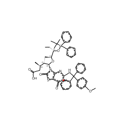 CC[C@H](O[Si](c1ccccc1)(c1ccccc1)C(C)(C)C)[C@@H]1C[C@@H]([C@H](C)CC(=O)O)[C@H](n2c(=O)sc3c(=O)[nH]c(NC(c4ccccc4)(c4ccccc4)c4ccc(OC)cc4)nc32)O1